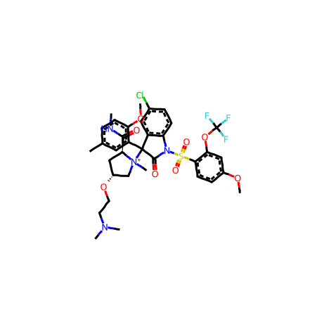 CNC(=O)[C@@H]1C[C@@H](OCCN(C)C)C[N+]1(C)C1(c2cc(C)ccc2OC)C(=O)N(S(=O)(=O)c2ccc(OC)cc2OC(F)(F)F)c2ccc(Cl)cc21